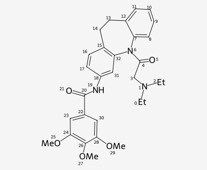 CCN(CC)CC(=O)N1c2ccccc2CCc2ccc(NC(=O)c3cc(OC)c(OC)c(OC)c3)cc21